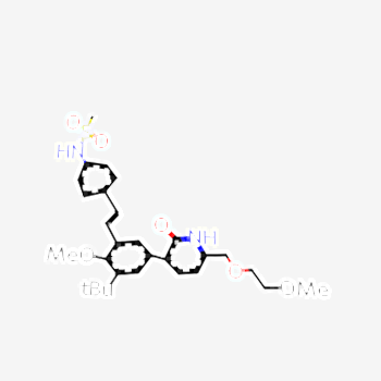 COCCOCc1ccc(-c2cc(C=Cc3ccc(NS(C)(=O)=O)cc3)c(OC)c(C(C)(C)C)c2)c(=O)[nH]1